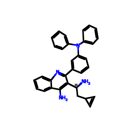 Nc1c([C@@H](N)CC2C=C2)c(-c2cccc(N(c3ccccc3)c3ccccc3)c2)nc2ccccc12